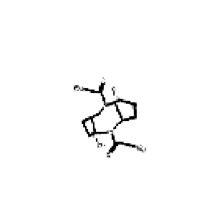 CC(C)(C)C(=O)N1C2CC[C@]2(O)N(C(=O)C(C)(C)C)C2CC[C@@]21O